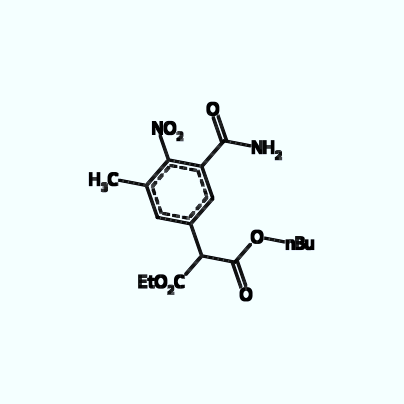 CCCCOC(=O)C(C(=O)OCC)c1cc(C)c([N+](=O)[O-])c(C(N)=O)c1